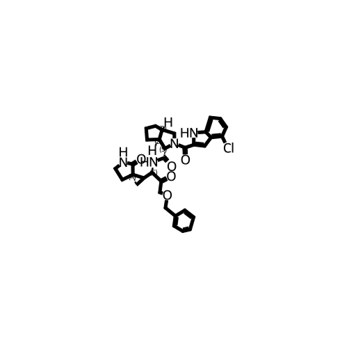 O=C(COCc1ccccc1)[C@@H](NC(=O)[C@@H]1[C@H]2CCC[C@H]2CN1C(=O)c1cc2c(Cl)cccc2[nH]1)C1C[C@@]12CCNC2=O